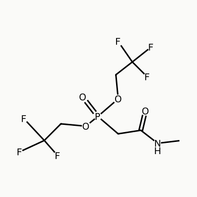 CNC(=O)CP(=O)(OCC(F)(F)F)OCC(F)(F)F